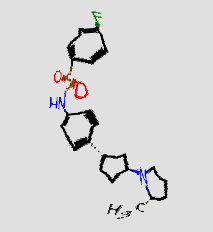 C[C@H]1CCCN1[C@H]1CC[C@H](c2ccc(NS(=O)(=O)c3ccc(F)cc3)cc2)C1